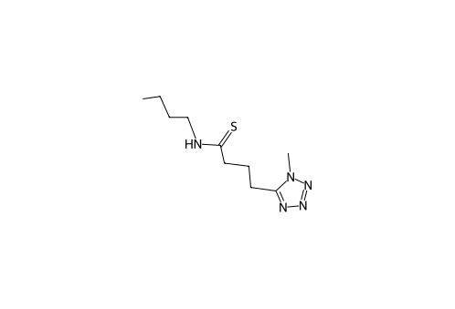 CCCCNC(=S)CCCc1nnnn1C